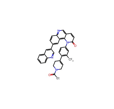 CCC(=O)N1CC=C(c2ccc(-n3c(=O)ccc4cnc5ccc(-c6cnc7ccccc7c6)cc5c43)cc2C(F)(F)F)CC1